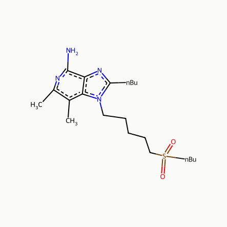 CCCCc1nc2c(N)nc(C)c(C)c2n1CCCCCS(=O)(=O)CCCC